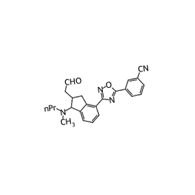 CCCN(C)C1c2cccc(-c3noc(-c4cccc(C#N)c4)n3)c2CC1CC=O